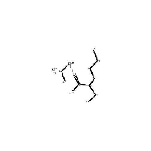 CCCCC(CC)C(=O)[O-].C[CH2][Al+2].[Cl-]